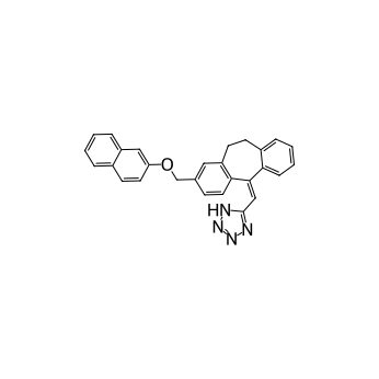 C(=C1c2ccccc2CCc2cc(COc3ccc4ccccc4c3)ccc21)c1nnn[nH]1